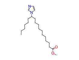 CCCCCCC(CCCCCCCCCCC(=O)OC)n1ccnc1